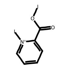 O=C(OI)c1cccc[n+]1I